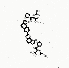 COC(=O)N[C@H](C(=O)N1CCC[C@H]1c1nc2ccc3nc(-c4ccc5c(ccc6nc([C@@H]7CCCN7C(=O)[C@@H](NC(=O)O)C(C)C)[nH]c65)c4)sc3c2[nH]1)C(C)C